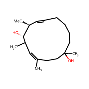 CO[C@H]1/C=C/CCCCC(O)(C(F)(F)F)CC/C(C)=C\C(C)[C@@H]1O